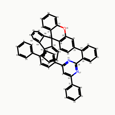 c1ccc(-c2ccc(-c3cc(-c4ccccc4)nc(-c4ccccc4-c4ccc5c(c4)Oc4ccccc4C54c5ccccc5-c5ccccc54)n3)cc2)cc1